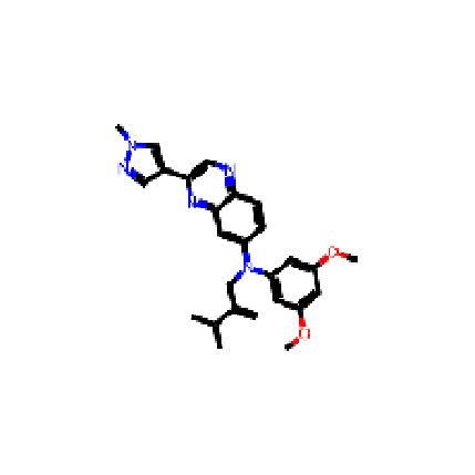 C=C(CN(c1cc(OC)cc(OC)c1)c1ccc2ncc(-c3cnn(C)c3)nc2c1)C(C)C